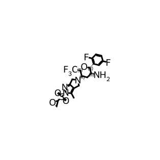 Cc1c2c(nn1S(=O)(=O)C1CO1)CN([C@@H]1C[C@H](N)[C@@H](c3cc(F)ccc3F)O[C@@H]1C(F)(F)F)C2